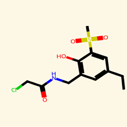 CCc1cc(CNC(=O)CCl)c(O)c(S(C)(=O)=O)c1